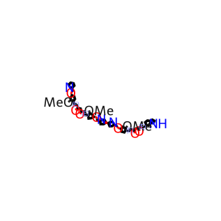 COc1cc(OCc2ccccn2)ccc1/C=C/C(=O)CC(=O)/C=C/c1ccc(OCc2ccc(-c3ccc(COc4ccc(/C=C/C(=O)CC(=O)/C=C/c5ccc6cc[nH]c6c5)c(OC)c4)nc3)cn2)cc1OC